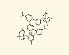 Cc1cc(-c2ccc(C(C)C)cc2-c2cccc(-c3cc(C(C)C)ccc3-c3cc(C)cc(C45CC6(C)CC(C)(CC(C)(C6)C4)C5)c3O)n2)cc(C23CC4(C)CC(C)(CC(C)(C4)C2)C3)c1